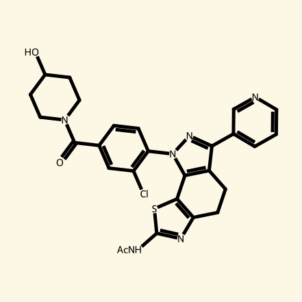 CC(=O)Nc1nc2c(s1)-c1c(c(-c3cccnc3)nn1-c1ccc(C(=O)N3CCC(O)CC3)cc1Cl)CC2